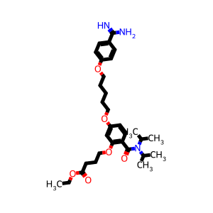 CCOC(=O)CCCOc1cc(OCCCCCOc2ccc(C(=N)N)cc2)ccc1C(=O)N(C(C)C)C(C)C